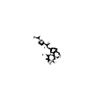 CC1(C)C(=N)N[C@@]2(COCc3ccc(NC(=O)c4ccn(C(F)F)n4)cc32)CS1(=O)=O